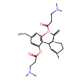 C=C(C)C1CCC(C)=CC1c1c(OC(=O)CCN(C)C)cc(CCCCC)cc1OC(=O)CCN(C)C